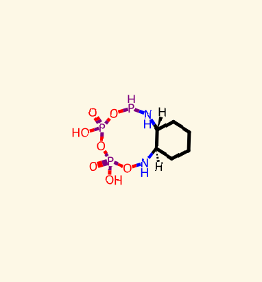 O=P1(O)ON[C@@H]2CCCC[C@H]2NPOP(=O)(O)O1